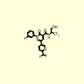 O=C(NC(CO)C(F)(F)F)c1cc(-c2ccc(C(F)F)nc2)nn(-c2cccc(F)c2)c1=O